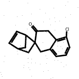 O=C1Cc2c(Cl)cccc2CC12CC1C=CC2C1